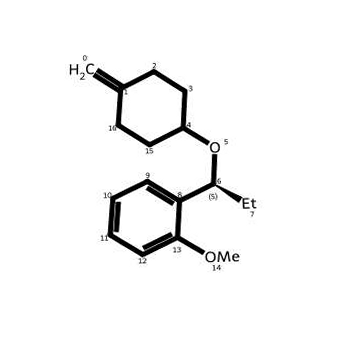 C=C1CCC(O[C@@H](CC)c2ccccc2OC)CC1